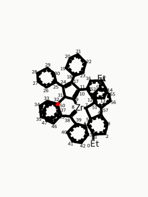 CCc1ccc2c(c1)[CH]([Zr]([C]1=C(c3ccccc3)C(c3ccccc3)=C(c3ccccc3)C1c1ccccc1)=[C](c1ccccc1)c1ccccc1)c1cc(CC)ccc1-2